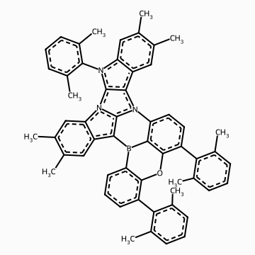 Cc1cc2c3c4n(c5c6cc(C)c(C)cc6n(-c6c(C)cccc6C)c5n4c2cc1C)-c1ccc(-c2c(C)cccc2C)c2c1B3c1cccc(-c3c(C)cccc3C)c1O2